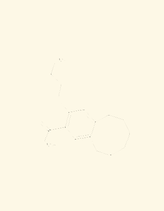 COCCOc1cc2c(cc1C(=O)OC)CCCCCC2